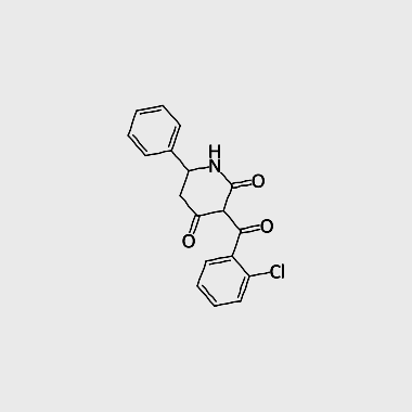 O=C1CC(c2ccccc2)NC(=O)C1C(=O)c1ccccc1Cl